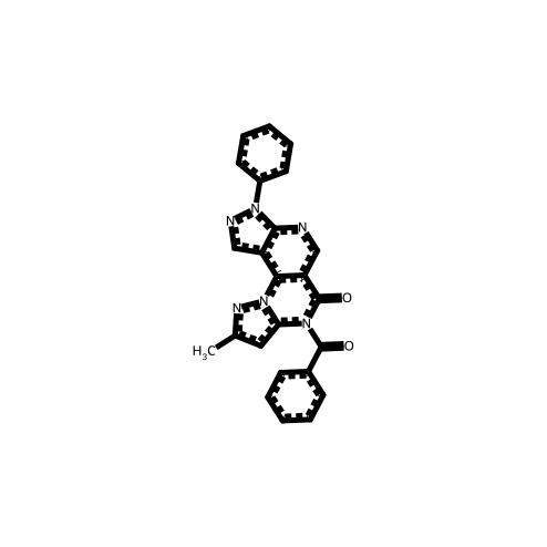 Cc1cc2n(C(=O)c3ccccc3)c(=O)c3cnc4c(cnn4-c4ccccc4)c3n2n1